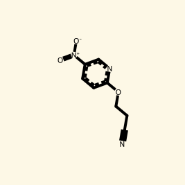 N#CCCOc1ccc([N+](=O)[O-])cn1